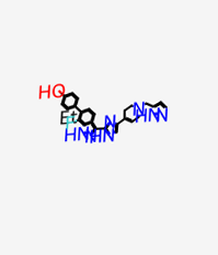 CCc1cc(O)ccc1-c1ccc2c(-c3nc(C4=CCN(Cc5ccn[nH]5)CC4)c[nH]3)n[nH]c2c1F